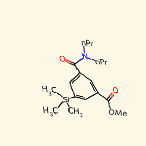 CCCN(CCC)C(=O)c1cc(C(=O)OC)cc([Si](C)(C)C)c1